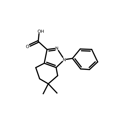 CC1(C)CCc2c(C(=O)O)nn(-c3ccccc3)c2C1